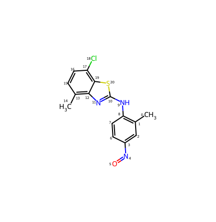 Cc1cc(N=O)ccc1Nc1nc2c(C)ccc(Cl)c2s1